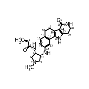 C=CC(=O)N[C@@H]1CN(C)C[C@@H]1Nc1cc2c(cn1)CCc1c-2[nH]c2c1C(=O)NCC2